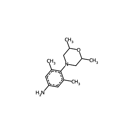 Cc1cc(N)cc(C)c1N1CC(C)OC(C)C1